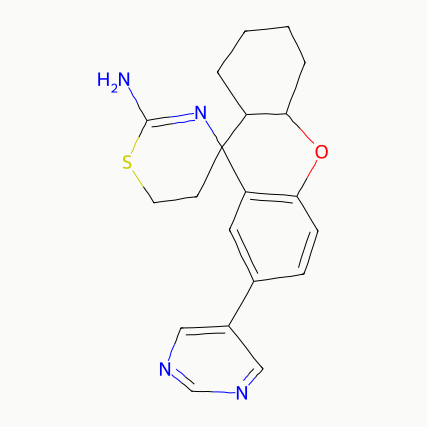 NC1=NC2(CCS1)c1cc(-c3cncnc3)ccc1OC1CCCCC12